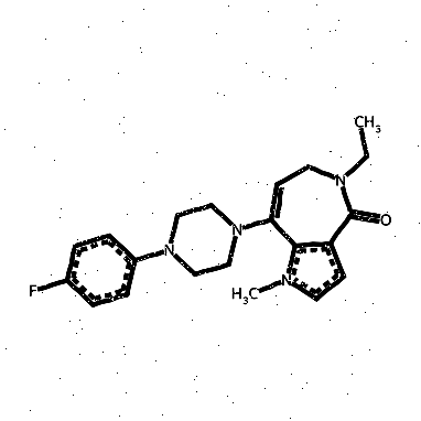 CCN1CC=C(N2CCN(c3ccc(F)cc3)CC2)c2c(ccn2C)C1=O